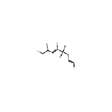 FC=CCC(F)(F)C(F)=CC(F)CF